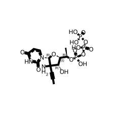 CC#CC1(N)[C@@H](O)[C@@H]([C@@H](C)OP(=O)(O)OP(=O)(O)OP(=O)(O)O)O[C@H]1n1ccc(=O)[nH]c1=O